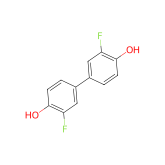 Oc1ccc(-c2ccc(O)c(F)c2)cc1F